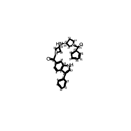 O=C(c1ccc2c(-c3ccccc3)c[nH]c2c1)N1CC(N[C@H]2CCN(C(=O)c3ccccc3)C2)C1